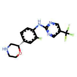 Fc1cc([C@H]2CNCCO2)ccc1Nc1ncc(C(F)(F)F)cn1